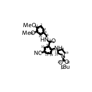 COc1ccc(CNC(=O)c2cc(C#N)ccc2N[C@H]2CCN(C(=O)OC(C)(C)C)C2)cc1OC